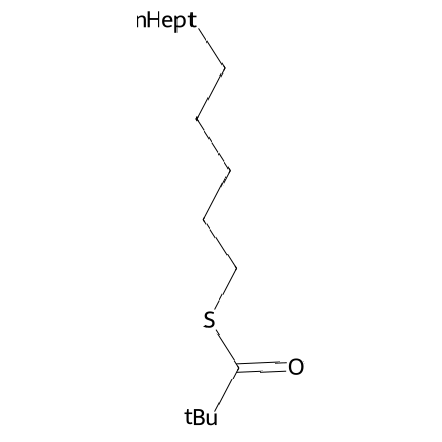 CCCCCCCCCCCCSC(=O)C(C)(C)C